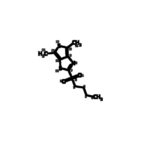 CCCCS(=O)(=O)c1nc2c(C)sc(C)c2s1